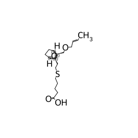 CC=CCOC[C@H]1[C@@H](CCSCCCCC(=O)O)[C@H]2CC[C@@H]1O2